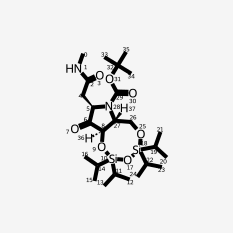 CNC(=O)C[C@@H]1C(=O)[C@@H]2O[Si](C(C)C)(C(C)C)O[Si](C(C)C)(C(C)C)OC[C@H]2N1C(=O)OC(C)(C)C